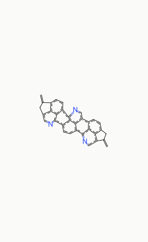 C=C1Cc2ccc3c4cnc5c6ccc7c8c(cnc(c9ccc(c%10ncc1c2c3%10)c4c95)c86)CC7=C